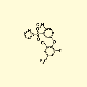 O=[N+]([O-])c1ccc(Oc2c(Cl)cc(C(F)(F)F)cc2Cl)cc1S(=O)(=O)n1cccn1